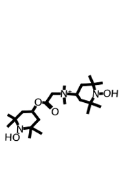 CC1(C)CC(OC(=O)C[N+](C)(C)C2CC(C)(C)N(O)C(C)(C)C2)CC(C)(C)N1O